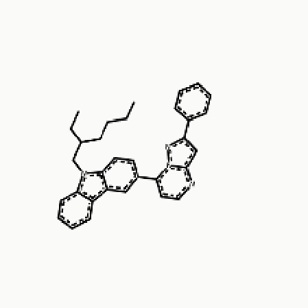 CCCCC(CC)Cn1c2ccccc2c2cc(-c3ccnc4cc(-c5ccccc5)nn34)ccc21